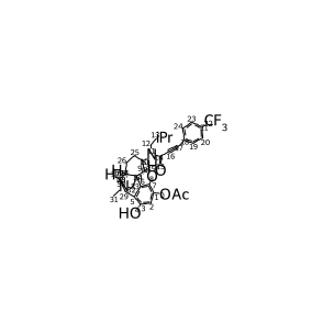 CC(=O)Oc1cc(O)c2c3c1O[C@H]1[C@@H](N(CC(C)C)C(=O)C#Cc4ccc(C(F)(F)F)cc4)CC[C@H]4[C@@H](C2)N(C)CC[C@@]341